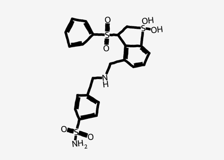 NS(=O)(=O)c1ccc(CNCc2cccc3c2C(S(=O)(=O)c2ccccc2)CS3(O)O)cc1